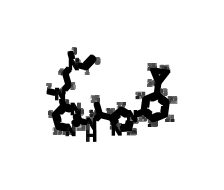 C=CN(C)CCN(C)c1ccnc(NC(C)c2cn(-c3cccc(C4CC4)c3)cn2)n1